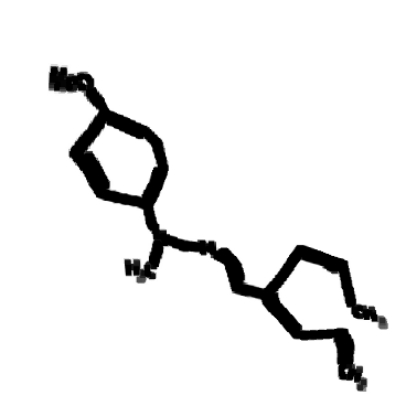 C=C/C=C(\C=C/C)/C=N/N(C)c1ccc(OC)cc1